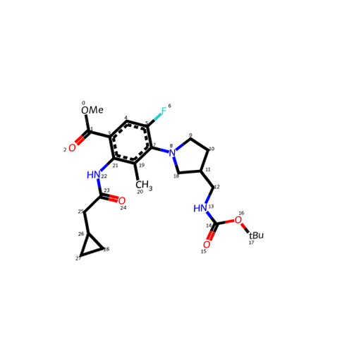 COC(=O)c1cc(F)c(N2CCC(CNC(=O)OC(C)(C)C)C2)c(C)c1NC(=O)CC1CC1